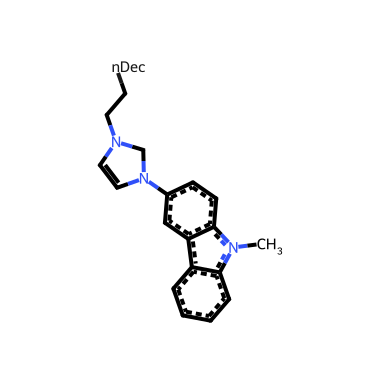 CCCCCCCCCCCCN1C=CN(c2ccc3c(c2)c2ccccc2n3C)C1